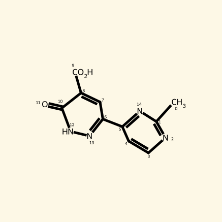 Cc1nccc(-c2cc(C(=O)O)c(=O)[nH]n2)n1